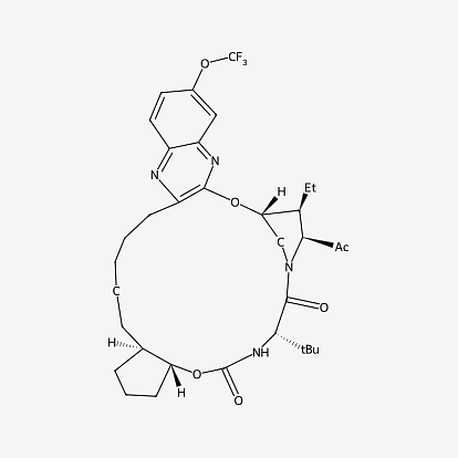 CC[C@@H]1[C@@H]2CN(C(=O)[C@H](C(C)(C)C)NC(=O)O[C@@H]3CCC[C@H]3CCCCCc3nc4ccc(OC(F)(F)F)cc4nc3O2)[C@@H]1C(C)=O